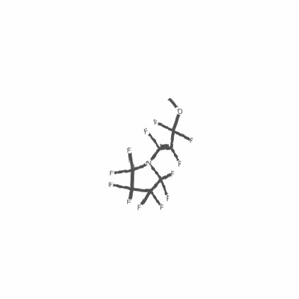 COC(F)(F)C(F)=C(F)N1C(F)(F)C(F)(F)C(F)(F)C1(F)F